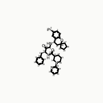 CC(C)c1ccc2c(c1)[C@@H](NCC(=O)[C@H](Cc1ccccc1)NC(=O)C1CCCN(c3ccccn3)C1)CC1(CCCC1)O2